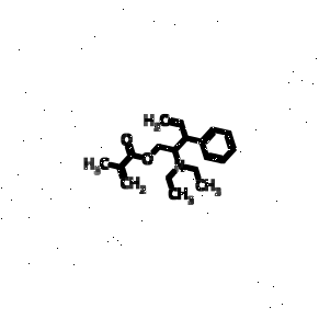 C=CC(c1ccccc1)C(COC(=O)C(=C)C)N(CC)CC